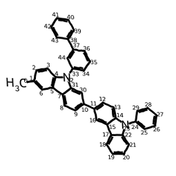 Cc1ccc2c(c1)c1ccc(-c3ccc4c(c3)c3ccccc3n4-c3ccccc3)cc1n2-c1cccc(-c2ccccc2)c1